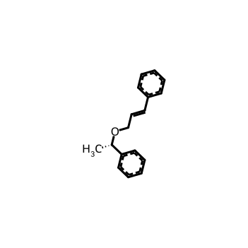 C[C@H](OC/C=C/c1ccccc1)c1ccccc1